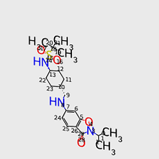 CC(C)n1oc2cc(NC[C@H]3CC[C@H](NS(=O)(=O)C(C)(C)C)CC3)ccc2c1=O